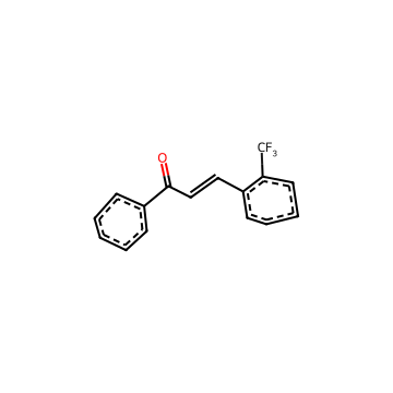 O=C(/C=C/c1ccccc1C(F)(F)F)c1ccccc1